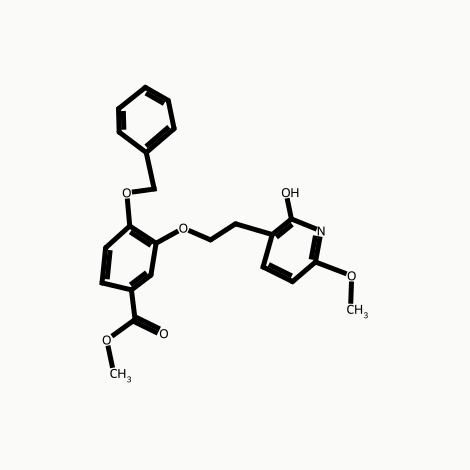 COC(=O)c1ccc(OCc2ccccc2)c(OCCc2ccc(OC)nc2O)c1